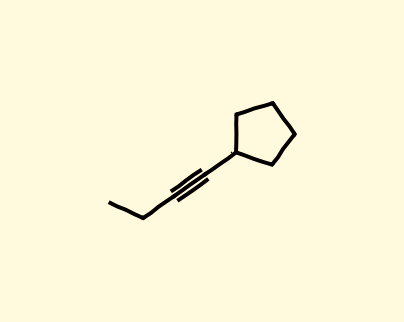 CCC#C[C]1CCCC1